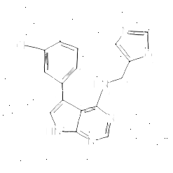 Clc1cccc(-c2c[nH]c3ncnc(NCc4cnco4)c23)c1